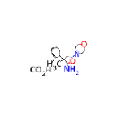 CC(CCN1CCOCC1)(C(N)=O)c1ccccc1CCC(=O)O